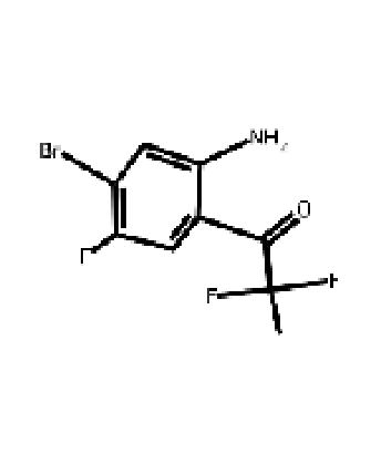 CC(F)(F)C(=O)c1cc(F)c(Br)cc1N